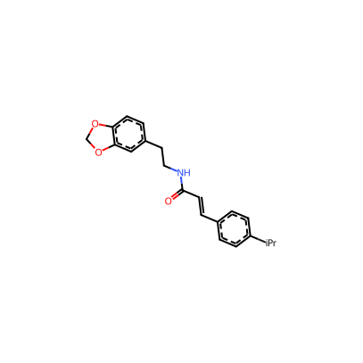 CC(C)c1ccc(C=CC(=O)NCCc2ccc3c(c2)OCO3)cc1